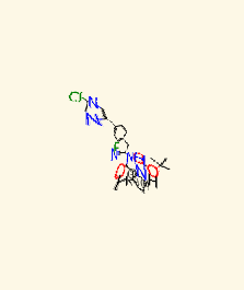 CC(C)(C)OC(=O)N1[C@@H]2CC[C@@H](C2)[C@H]1C(=O)NC(C#N)Cc1ccc(-c2cnc(Cl)cn2)cc1F